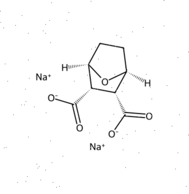 O=C([O-])[C@@H]1[C@H](C(=O)[O-])[C@H]2CC[C@@H]1O2.[Na+].[Na+]